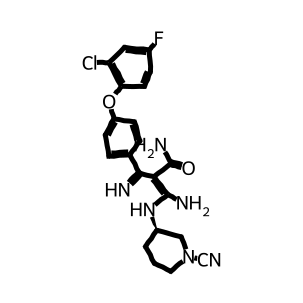 N#CN1CCC[C@@H](N/C(N)=C(\C(=N)c2ccc(Oc3ccc(F)cc3Cl)cc2)C(N)=O)C1